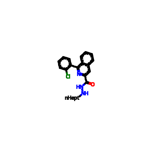 CCCCCCCNNC(=O)c1cc2ccccc2c(-c2ccccc2Cl)n1